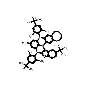 Cc1cc2c3c(c1)N(c1c(C)cc(C(C)(C)C)cc1C)c1sc4ccc(C(C)(C)C)cc4c1B3c1cc3c(cc1N2c1c(C)cc(C(C)(C)C)cc1C)OCCCO3